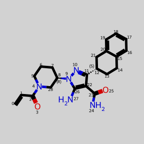 C=CC(=O)N1CCC[C@@H](n2nc([C@H]3CCc4ccccc4C3)c(C(N)=O)c2N)C1